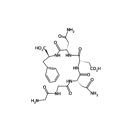 NCC(=O)NCC(=O)N[C@@H](CC(N)=O)C(=O)N[C@@H](CC(=O)O)C(=O)N[C@@H](CC(N)=O)C(=O)N[C@@H](Cc1ccccc1)C(=O)O